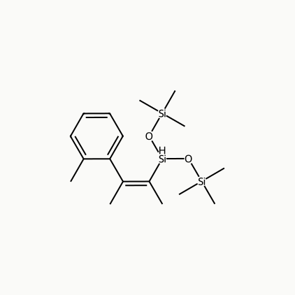 CC(=C(C)[SiH](O[Si](C)(C)C)O[Si](C)(C)C)c1ccccc1C